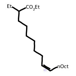 CCCCCCCC/C=C\CCCCCCC(CC)C(=O)OCC